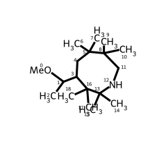 COC(C)C1CC(C)(C)C(C)(C)CNC(C)(C)C1(C)C